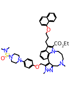 CCOC(=O)c1c(CCCOc2cccc3ccccc23)c2cccc3c2n1CCCN(C)Cc1nn(C)c(COc2ccc(N4CCN([S+]([O-])N(C)C)CC4)cc2)c1-3